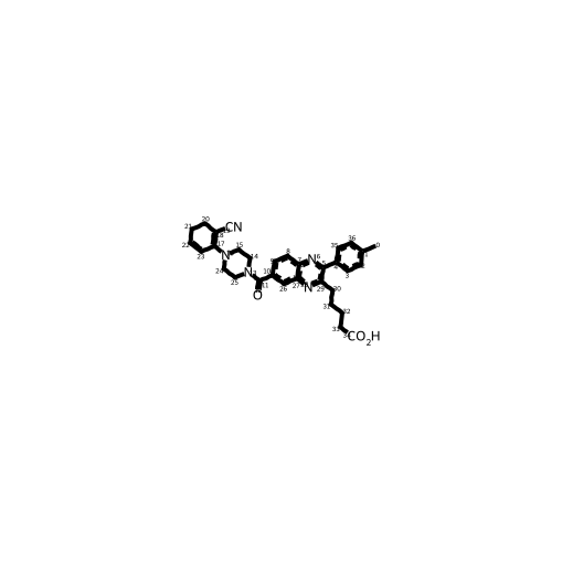 Cc1ccc(-c2nc3ccc(C(=O)N4CCN(C5=C(C#N)CCC=C5)CC4)cc3nc2CCCCC(=O)O)cc1